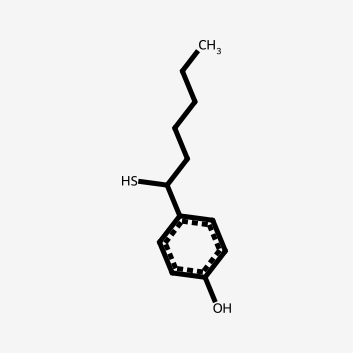 CCCCCC(S)c1ccc(O)cc1